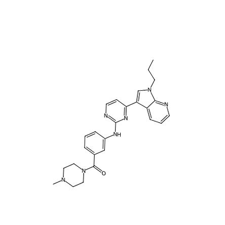 CCCn1cc(-c2ccnc(Nc3cccc(C(=O)N4CCN(C)CC4)c3)n2)c2cccnc21